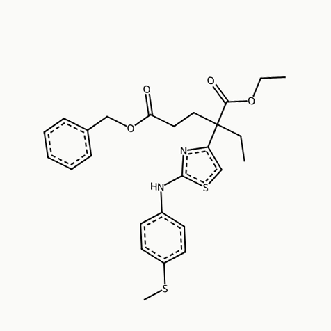 CCOC(=O)C(CC)(CCC(=O)OCc1ccccc1)c1csc(Nc2ccc(SC)cc2)n1